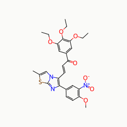 CCOc1cc(C(=O)C=Cc2c(-c3ccc(OC)c([N+](=O)[O-])c3)nc3sc(C)cn23)cc(OCC)c1OCC